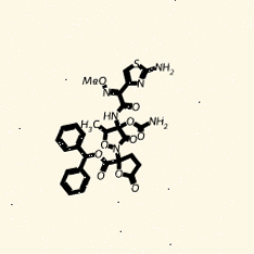 CON=C(C(=O)NC1(OC(N)=O)C(=O)N(C2(C(=O)OC(c3ccccc3)c3ccccc3)CCC(=O)O2)OC1C)c1csc(N)n1